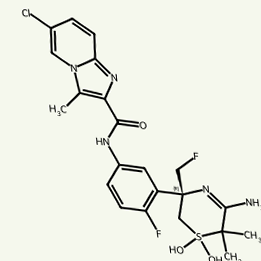 Cc1c(C(=O)Nc2ccc(F)c([C@@]3(CF)CS(O)(O)C(C)(C)C(N)=N3)c2)nc2ccc(Cl)cn12